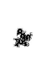 CCOc1nc([C@@H](CS(C)(=O)=O)n2c(=O)n(CC(F)F)c3c(C)c(-c4ccccc4F)cnc32)ccc1OC(C)C